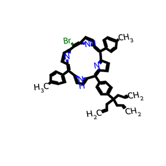 C=CCC(CC=C)(CC=C)c1ccc(-c2c3nc(c(-c4ccc(C)cc4)c4ccc([nH]4)c(Br)c4nc(c(-c5ccc(C)cc5)c5ccc2[nH]5)C=C4)C=C3)cc1